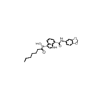 CCCCCCC(=O)N(O)c1c[nH]c2c(C(=O)Nc3ccc4c(c3)OCO4)cccc12